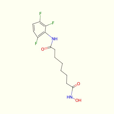 O=C(CCCCCCC(=O)Nc1c(F)ccc(F)c1F)NO